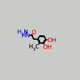 Cc1c(CC(=O)NN)ccc(O)c1O